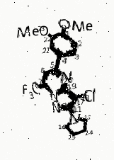 COc1ccc(-c2cc(C(F)(F)F)n3nc(N4CCCC4)c(Cl)c3n2)cc1OC